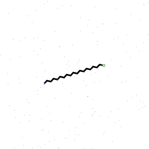 ClCCCCCCCCCCCCCCCCCI